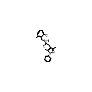 Cc1cccc(Cl)c1CNC(=O)Cc1c(C)nn(-c2ccccc2)c1C